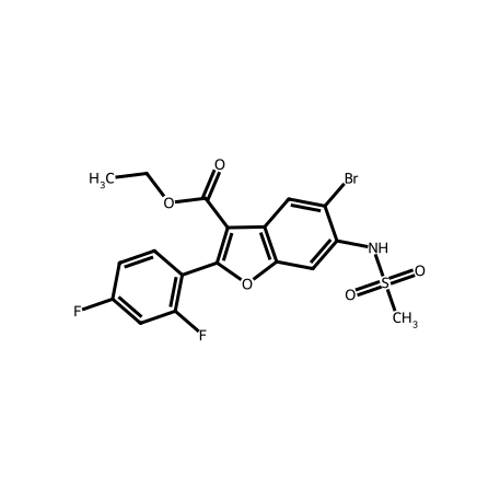 CCOC(=O)c1c(-c2ccc(F)cc2F)oc2cc(NS(C)(=O)=O)c(Br)cc12